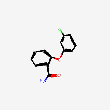 NC(=O)c1ccccc1Oc1cccc(Cl)c1